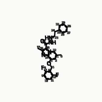 Cc1cc(OCc2c(F)cccc2F)c2nc(C)c(C(=O)NNCCc3ccccc3)n2c1